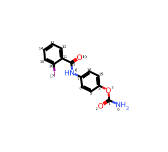 NC(=O)Oc1ccc(NC(=O)c2ccccc2I)cc1